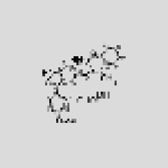 COc1ncc(-c2n[nH]c3cc4c(cc23)CN(C(C)c2ccccc2)C(=O)N4)cn1.O=CO